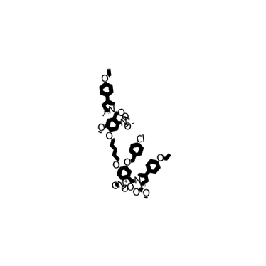 CCOc1ccc(C2=CN(C(=O)c3cc(OC)c(OCCCCCOc4cc([N+](=O)[O-])c(C(=O)N5C=C(c6ccc(OCC)cc6)C[C@H]5C(=O)OC)cc4OCc4ccc(Cl)cc4)cc3[N+](=O)[O-])[C@H](C)C2)cc1